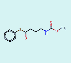 COC(=O)NCCCC(=O)Sc1ccccc1